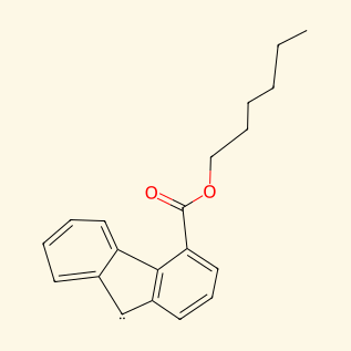 CCCCCCOC(=O)c1cccc2c1-c1ccccc1[C]2